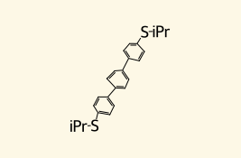 CC(C)Sc1ccc(-c2ccc(-c3ccc(SC(C)C)cc3)cc2)cc1